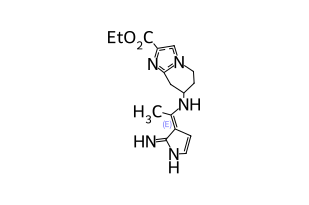 CCOC(=O)c1cn2c(n1)CC(N/C(C)=C1\C=CNC1=N)CC2